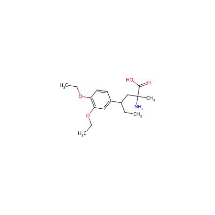 CCOc1ccc(C(CC)CC(C)(N)C(=O)O)cc1OCC